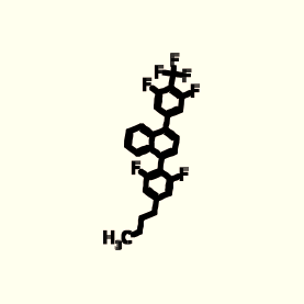 CCCCc1cc(F)c(-c2ccc(-c3cc(F)c(C(F)(F)F)c(F)c3)c3ccccc23)c(F)c1